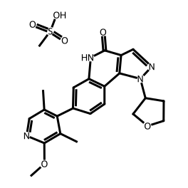 COc1ncc(C)c(-c2ccc3c(c2)[nH]c(=O)c2cnn(C4CCOC4)c23)c1C.CS(=O)(=O)O